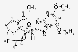 CCOc1cccc(C(F)(F)F)c1S(=O)(=O)Nc1nc2nc(OC)cc(OC)n2n1